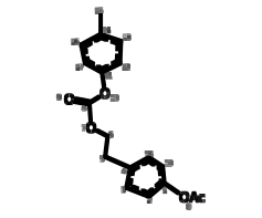 CC(=O)Oc1ccc(CCOC(=O)Oc2ccc(C)cc2)cc1